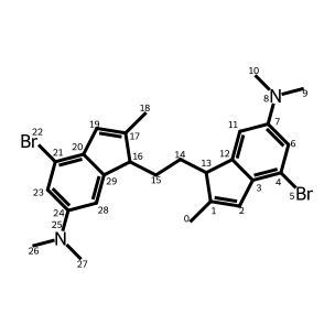 CC1=Cc2c(Br)cc(N(C)C)cc2C1CCC1C(C)=Cc2c(Br)cc(N(C)C)cc21